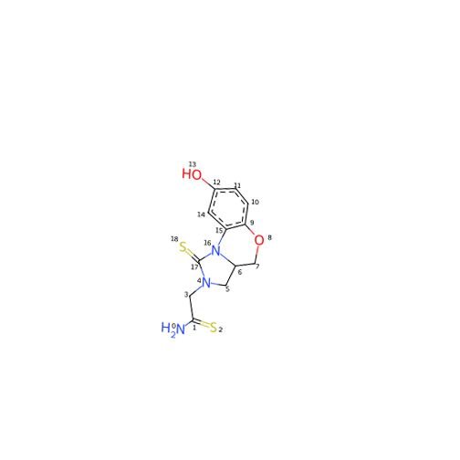 NC(=S)CN1CC2COc3ccc(O)cc3N2C1=S